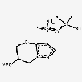 COC1COc2c(S(N)(=O)=N[Si](C)(C)C(C)(C)C)cnn2C1